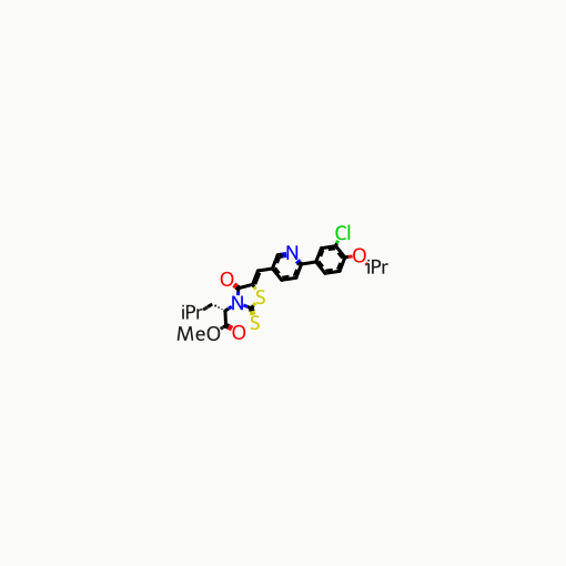 COC(=O)[C@H](CC(C)C)N1C(=O)/C(=C/c2ccc(-c3ccc(OC(C)C)c(Cl)c3)nc2)SC1=S